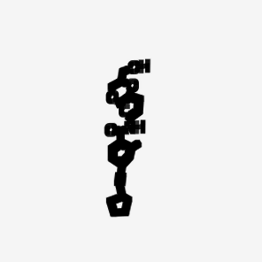 Cc1cc(C#CC2CCCC2)ccc1C(=O)Nc1ccc2c(c1)OCC(CO)O2